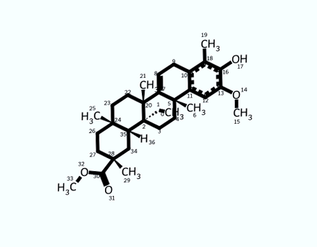 CC[C@@]12CC[C@]3(C)C(=CCc4c3cc(OC)c(O)c4C)[C@@]1(C)CC[C@@]1(C)CC[C@@](C)(C(=O)OC)C[C@H]12